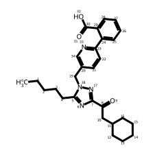 CCCCCc1nc(C(=O)CC2CCCCC2)nn1Cc1ccc(-c2ccccc2C(=O)O)nc1